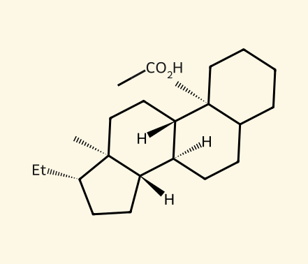 CC(=O)O.CC[C@H]1CC[C@H]2[C@@H]3CCC4CCCC[C@]4(C)[C@H]3CC[C@]12C